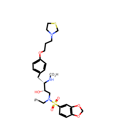 CC(C)CN(C[C@H](O)[C@H](Cc1ccc(OCCCN2CCSC2)cc1)NC(=O)O)S(=O)(=O)c1ccc2c(c1)OCO2